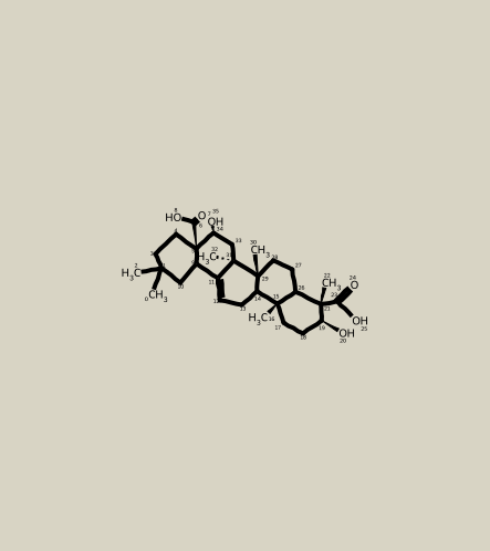 CC1(C)CC[C@@]2(C(=O)O)C(C1)C1=CCC3[C@@]4(C)CC[C@H](O)[C@@](C)(C(=O)O)C4CC[C@@]3(C)[C@]1(C)C[C@H]2O